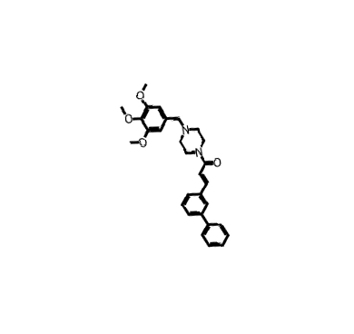 COc1cc(CN2CCN(C(=O)C=Cc3cccc(-c4ccccc4)c3)CC2)cc(OC)c1OC